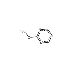 CCCCOc1ncncn1